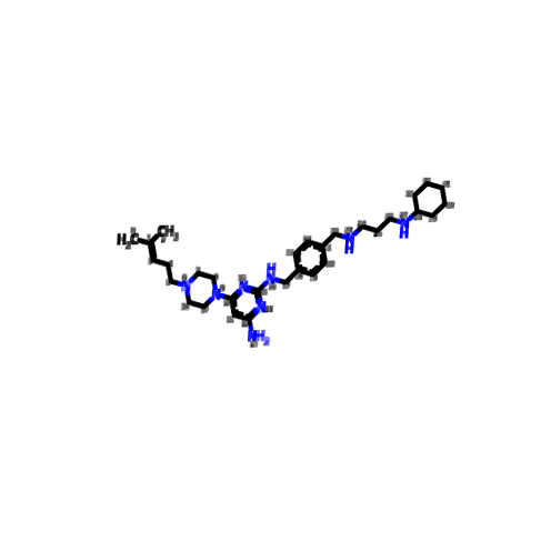 CC(C)=CCCN1CCN(c2cc(N)nc(NCc3ccc(CNCCCNC4CCCCC4)cc3)n2)CC1